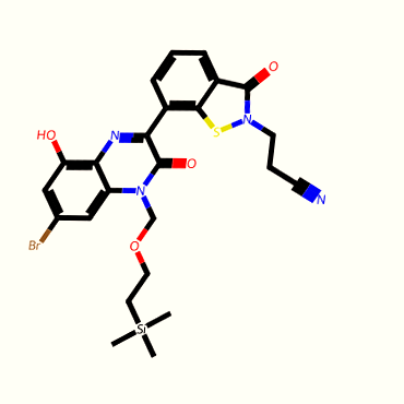 C[Si](C)(C)CCOCn1c(=O)c(-c2cccc3c(=O)n(CCC#N)sc23)nc2c(O)cc(Br)cc21